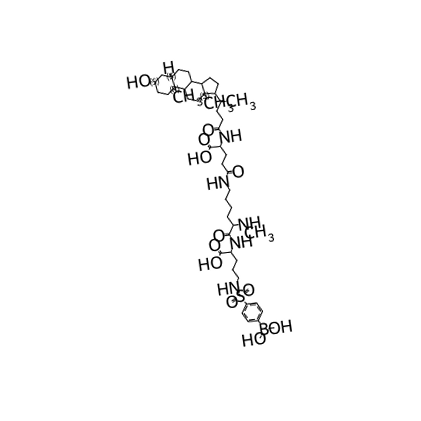 CNC(CCCCNC(=O)CCC(NC(=O)CCC(C)C1CCC2C3CC[C@H]4C[C@@H](O)CC[C@@]4(C)C3CC[C@@]12C)C(=O)O)C(=O)NC(CCCNS(=O)(=O)c1ccc(B(O)O)cc1)C(=O)O